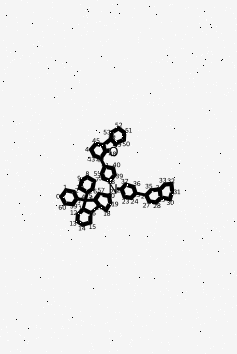 c1ccc(C2(c3ccccc3)c3ccccc3-c3ccc(N(c4ccc(-c5ccc6ccccc6c5)cc4)c4ccc(-c5cccc6c5oc5ccccc56)cc4)cc32)cc1